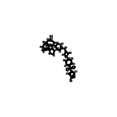 CCN[C@H]1CCC[C@@H]1C1(C2CCN(CC3CN(c4ccc(S(=O)(=O)c5cnn(C)c5)cc4)C3)CC2)CNCc2ccccc21